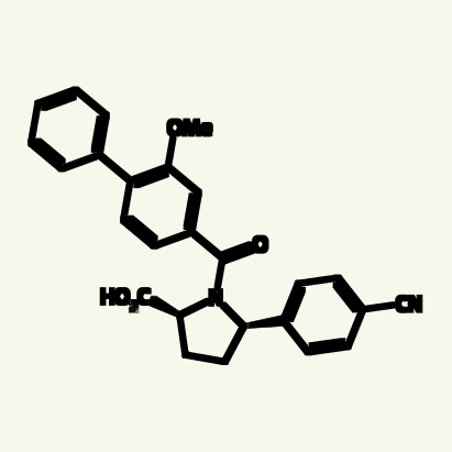 COc1cc(C(=O)N2[C@@H](c3ccc(C#N)cc3)CC[C@H]2C(=O)O)ccc1-c1ccccc1